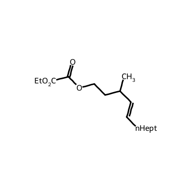 CCCCCCCC=CC(C)CCOC(=O)C(=O)OCC